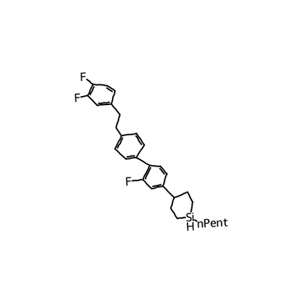 CCCCC[SiH]1CCC(c2ccc(-c3ccc(CCc4ccc(F)c(F)c4)cc3)c(F)c2)CC1